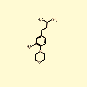 CC(C)CCc1ccc(N2CCOCC2)c(N)c1